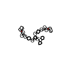 CC1(OC(=O)COc2ccc(Oc3cc(Oc4ccc(OCC(=O)OC5(C)C6CC7CC(C6)CC5C7)cc4)cc([SH]4c5ccccc5-c5ccccc54)c3)cc2)C2CC3CC(C2)CC1C3